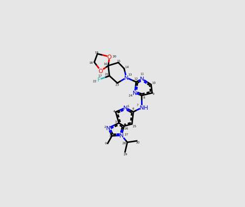 Cc1nc2cnc(Nc3ccnc(N4CCC5(OCCO5)C(F)C4)n3)cc2n1C(C)C